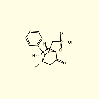 O=C1C[C@H]2CCC1[C@@H](CS(=O)(=O)O)[C@@H]2c1ccccc1